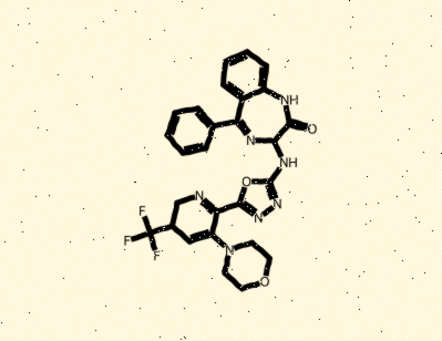 O=C1Nc2ccccc2C(c2ccccc2)=NC1Nc1nnc(C2=NCC(C(F)(F)F)C=C2N2CCOCC2)o1